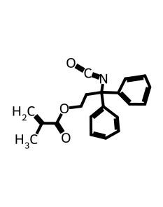 C=C(C)C(=O)OCCC(N=C=O)(c1ccccc1)c1ccccc1